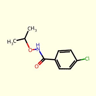 CC(C)ONC(=O)c1ccc(Cl)cc1